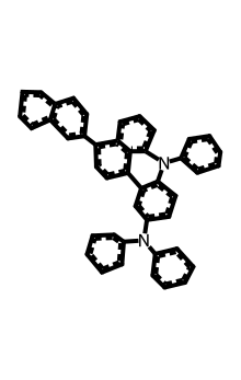 c1ccc(N(c2ccccc2)c2ccc3c(c2)-c2ccc(-c4ccc5ccccc5c4)c4cccc(c24)N3c2ccccc2)cc1